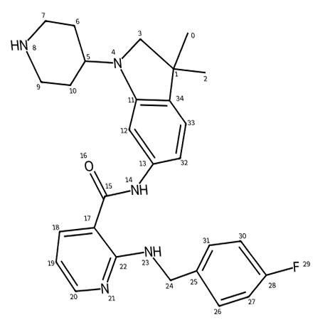 CC1(C)CN(C2CCNCC2)c2cc(NC(=O)c3cccnc3NCc3ccc(F)cc3)ccc21